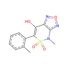 Cc1ccccc1C1=C(O)c2nonc2N(C)S1(=O)=O